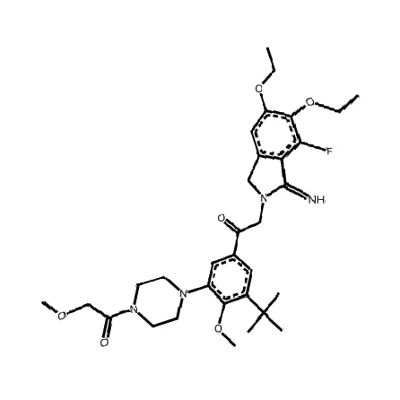 CCOc1cc2c(c(F)c1OCC)C(=N)N(CC(=O)c1cc(N3CCN(C(=O)COC)CC3)c(OC)c(C(C)(C)C)c1)C2